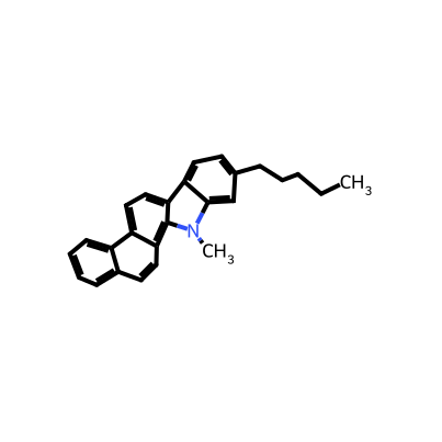 CCCCCc1ccc2c3ccc4c5ccccc5ccc4c3n(C)c2c1